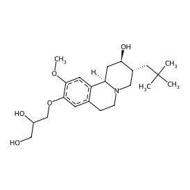 COc1cc2c(cc1OCC(O)CO)CCN1C[C@@H](CC(C)(C)C)[C@H](O)C[C@H]21